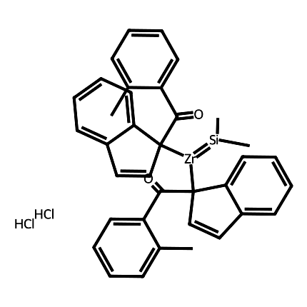 Cc1ccccc1C(=O)[C]1([Zr](=[Si](C)C)[C]2(C(=O)c3ccccc3C)C=Cc3ccccc32)C=Cc2ccccc21.Cl.Cl